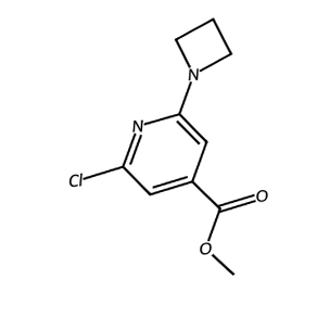 COC(=O)c1cc(Cl)nc(N2CCC2)c1